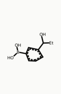 CCC(O)c1cccc(B(O)O)c1